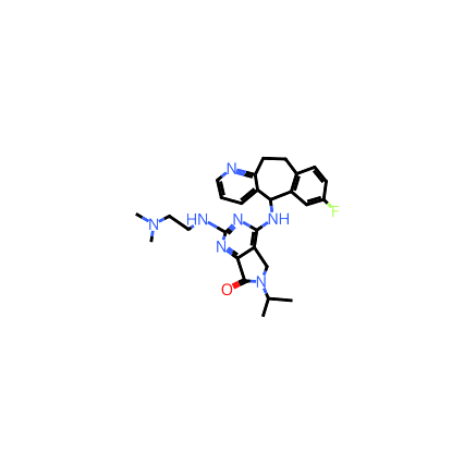 CC(C)N1Cc2c(NC3c4cc(F)ccc4CCc4ncccc43)nc(NCCN(C)C)nc2C1=O